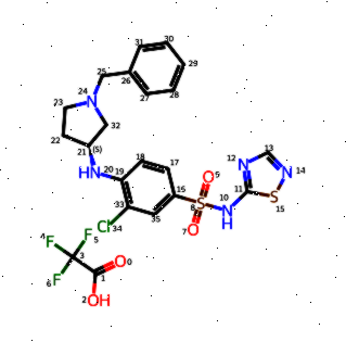 O=C(O)C(F)(F)F.O=S(=O)(Nc1ncns1)c1ccc(N[C@H]2CCN(Cc3ccccc3)C2)c(Cl)c1